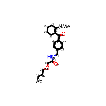 CNC1=C(C(=O)c2ccc(CNC(=O)COCCCC(C)=O)cc2)CCCC1